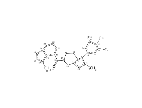 Cn1nc2c(c1-c1cc(F)c(F)c(F)c1)CCN(C(=O)c1cccc3ccn(C)c13)C2